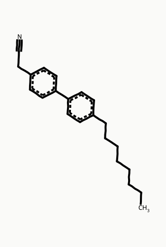 CCCCCCCCc1ccc(-c2ccc(CC#N)cc2)cc1